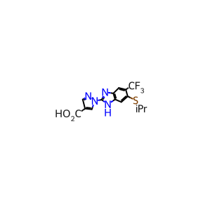 CC(C)Sc1cc2[nH]c(-n3cc(C(=O)O)cn3)nc2cc1C(F)(F)F